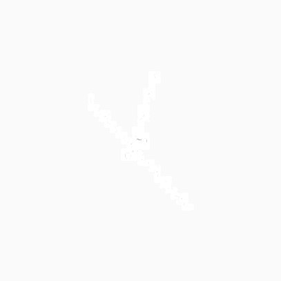 CCCCCCCCCCCCOC(=O)C(CCCCCCCCCC)C(=O)CCCCCCCCCCC